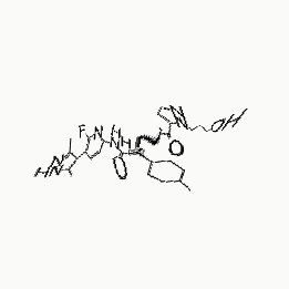 Cc1n[nH]c(C)c1-c1ccc(NC(=O)[C@@H](NC(=O)c2ccnn2CCCO)C2CCC(C)CC2)nc1F